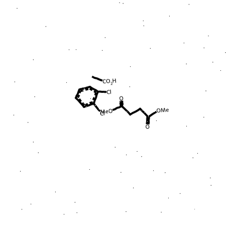 CC(=O)O.COC(=O)CCC(=O)OC.Clc1ccccc1Cl